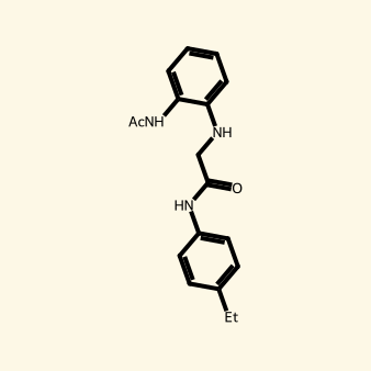 CCc1ccc(NC(=O)CNc2ccccc2NC(C)=O)cc1